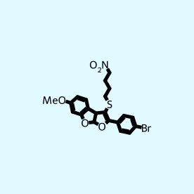 COc1ccc2c(c1)OC1OC(c3ccc(Br)cc3)=C(SCCCC[N+](=O)[O-])C21